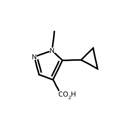 Cn1ncc(C(=O)O)c1C1CC1